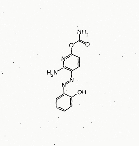 NC(=O)Oc1ccc(/N=N/c2ccccc2O)c(N)n1